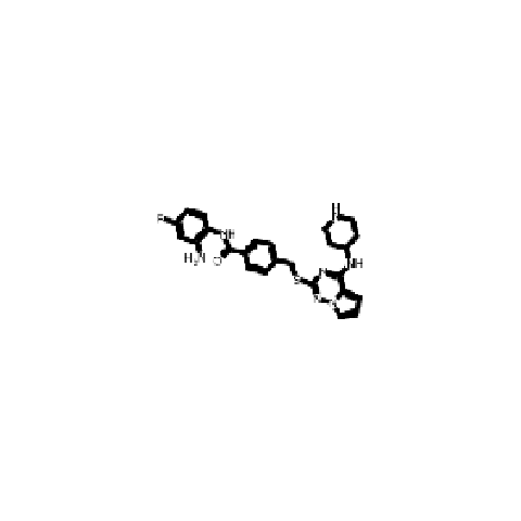 Nc1cc(F)ccc1NC(=O)c1ccc(CSc2nc(NC3CCNCC3)c3cccn3n2)cc1